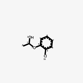 [CH2]C(O)Oc1ccccc1Cl